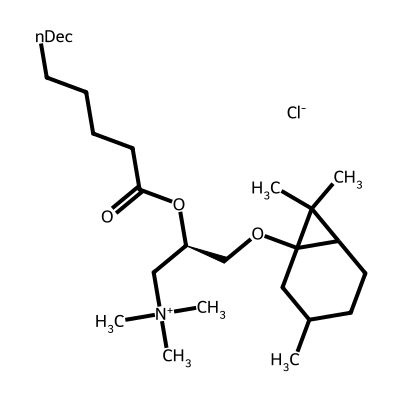 CCCCCCCCCCCCCCC(=O)O[C@@H](COC12CC(C)CCC1C2(C)C)C[N+](C)(C)C.[Cl-]